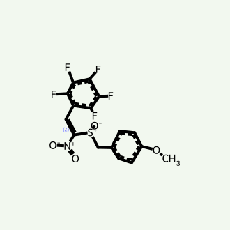 COc1ccc(C[S+]([O-])/C(=C\c2c(F)c(F)c(F)c(F)c2F)[N+](=O)[O-])cc1